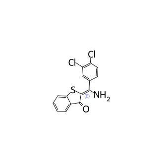 N/C(=C1/Sc2ccccc2C1=O)c1ccc(Cl)c(Cl)c1